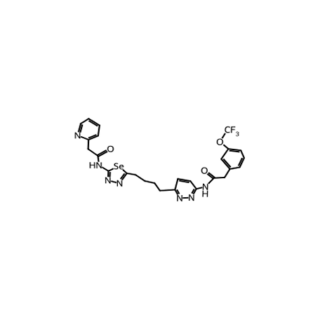 O=C(Cc1cccc(OC(F)(F)F)c1)Nc1ccc(CCCCc2nnc(NC(=O)Cc3ccccn3)[se]2)nn1